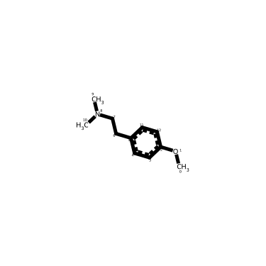 COc1ccc(CCN(C)C)cc1